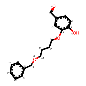 O=Cc1ccc(O)c(OCCCCOCc2ccccc2)c1